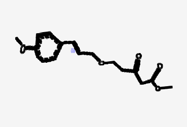 COC(=O)CC(=O)CCOC/C=C/c1ccc(OC)cc1